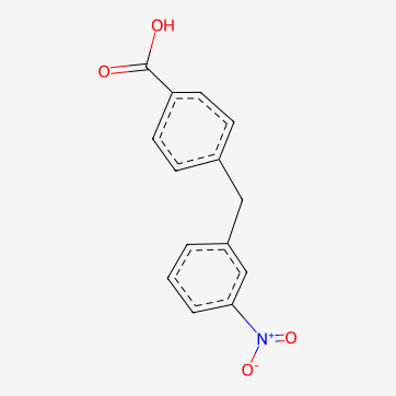 O=C(O)c1ccc(Cc2cccc([N+](=O)[O-])c2)cc1